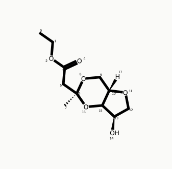 CCOC(=O)C[C@@]1(C)OC[C@@H]2OC[C@@H](O)C2O1